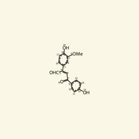 COc1cc(C(C=O)=CC(=O)c2ccc(O)cc2)ccc1O